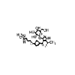 CC(C)c1[nH]nc(O[C@@H]2O[C@H](CO)[C@@H](O)[C@H](O)[C@H]2O)c1Cc1ccc(OCCCNS(N)(=O)=O)cc1